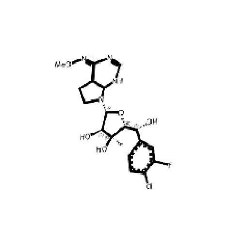 CO/N=C1/N=CNC2C1CCN2[C@@H]1O[C@H]([C@H](O)c2ccc(Cl)c(F)c2)[C@@](C)(O)[C@H]1O